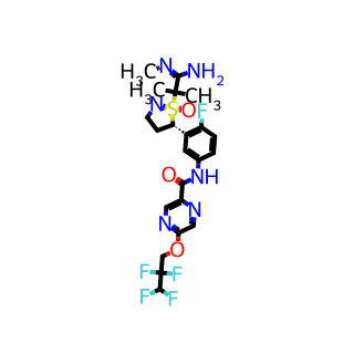 C/N=C(/N)C(C)(C)S1(=O)=NCC[C@H]1c1cc(NC(=O)c2cnc(OCC(F)(F)C(F)F)cn2)ccc1F